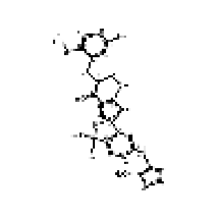 Cn1nccc1Nc1cc(-c2cc3n(c2)CCN(Cc2cc(F)ccc2CO)C3=O)c(C(F)(F)F)cn1